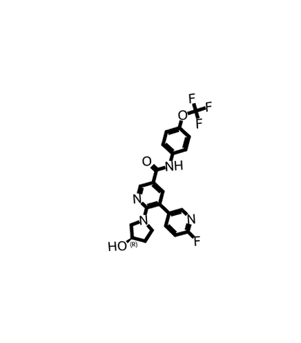 O=C(Nc1ccc(OC(F)(F)F)cc1)c1cnc(N2CC[C@@H](O)C2)c(-c2ccc(F)nc2)c1